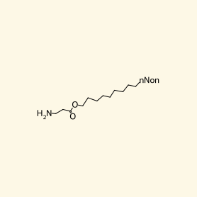 CCCCCCCCCCCCCCCCCCOC(=O)CCN